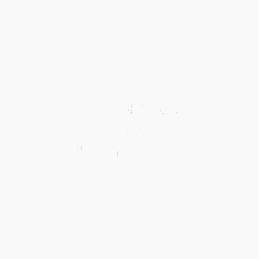 O=C(O)c1cc(F)c(NS(=O)(=O)c2ccccn2)cc1F